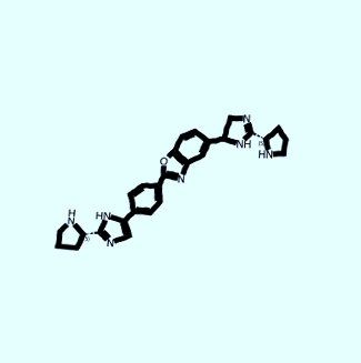 c1cc(-c2nc3cc(C4CN=C([C@@H]5CCCN5)N4)ccc3o2)ccc1-c1cnc([C@@H]2CCCN2)[nH]1